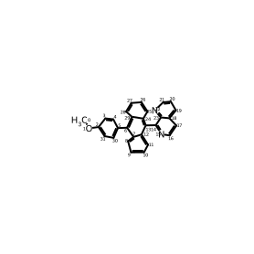 COc1ccc(-c2c3ccccc3c(-c3nccc4cccnc34)c3ccccc23)cc1